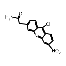 NC(=O)Cc1ccc2c(Cl)c3ccc([N+](=O)[O-])cc3nc2c1